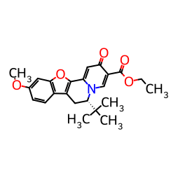 CCOC(=O)c1cn2c(cc1=O)-c1oc3cc(OC)ccc3c1C[C@H]2C(C)(C)C